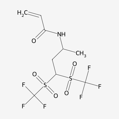 C=CC(=O)NC(C)CC(S(=O)(=O)C(F)(F)F)S(=O)(=O)C(F)(F)F